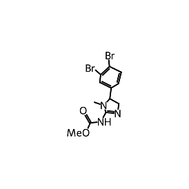 COC(=O)NC1=NCC(c2ccc(Br)c(Br)c2)N1C